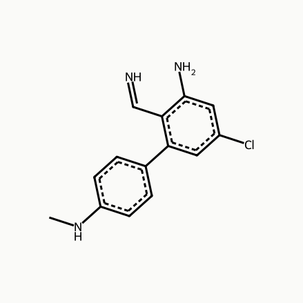 CNc1ccc(-c2cc(Cl)cc(N)c2C=N)cc1